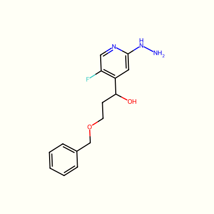 NNc1cc(C(O)CCOCc2ccccc2)c(F)cn1